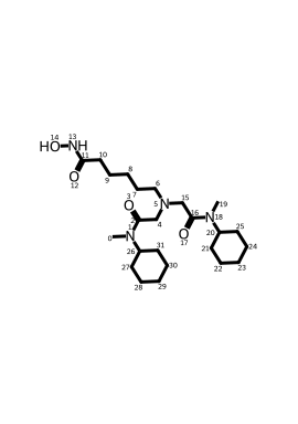 CN(C(=O)CN(CCCCCC(=O)NO)CC(=O)N(C)C1CCCCC1)C1CCCCC1